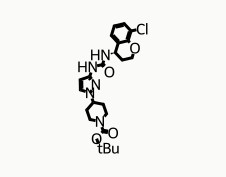 CC(C)(C)OC(=O)N1CCC(n2ccc(NC(=O)N[C@H]3CCOc4c(Cl)cccc43)n2)CC1